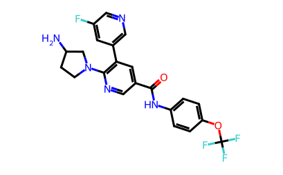 NC1CCN(c2ncc(C(=O)Nc3ccc(OC(F)(F)F)cc3)cc2-c2cncc(F)c2)C1